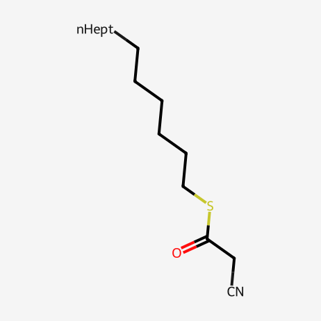 CCCCCCCCCCCCCSC(=O)CC#N